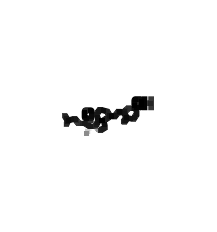 C=C1CC[C@H](O)C/C1=C/C=C1CCC[C@@]2(C=O)C1CC[C@@H]2[C@H](C)CCCC(C)C